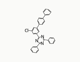 Clc1cc(-c2ccc(-c3ccccc3)cc2)cc(-c2nc(-c3ccccc3)nc(-c3ccccc3)n2)c1